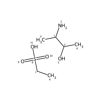 CC(N)C(C)O.CCS(=O)(=O)O